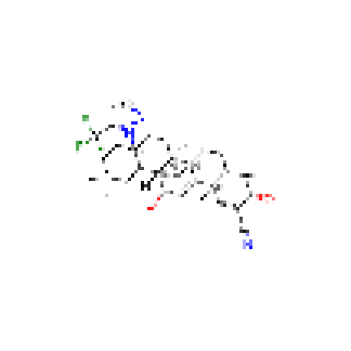 CC1(C)CC[C@]2(n3nccc3C(F)(F)F)CC[C@]3(C)[C@H](C(=O)C=C4[C@@]5(C)C=C(C#N)C(=O)C(C)(C)C5CC[C@]43C)C2C1